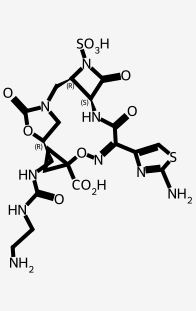 NCCNC(=O)NC[C@@H]1CN(C[C@@H]2[C@H](NC(=O)C(=NOC3(C(=O)O)CC3)c3csc(N)n3)C(=O)N2S(=O)(=O)O)C(=O)O1